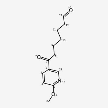 COc1ccc(C(=O)CCCCCC=O)cn1